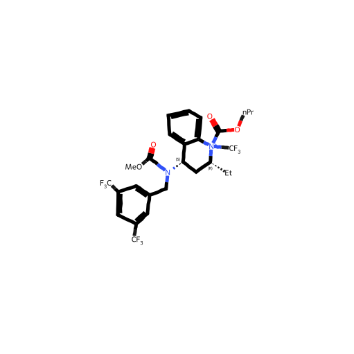 CCCOC(=O)[N+]1(C(F)(F)F)c2ccccc2[C@@H](N(Cc2cc(C(F)(F)F)cc(C(F)(F)F)c2)C(=O)OC)C[C@H]1CC